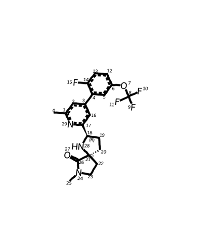 Cc1cc(-c2cc(OC(F)(F)F)ccc2F)cc([C@H]2CC[C@@]3(CCN(C)C3=O)N2)n1